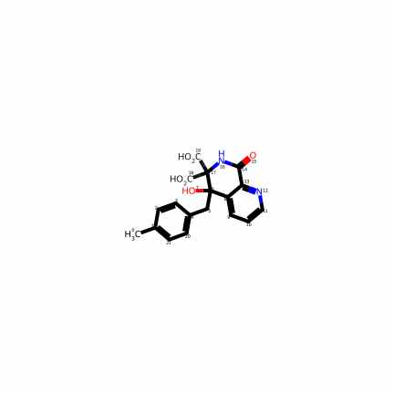 Cc1ccc(CC2(O)c3cccnc3C(=O)NC2(C(=O)O)C(=O)O)cc1